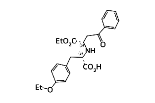 CCOC(=O)[C@H](CC(=O)c1ccccc1)N[C@@H](Cc1ccc(OCC)cc1)C(=O)O